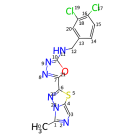 Cc1ncc2sc(-c3nnc(NCc4ccc(Cl)c(Cl)c4)o3)nn12